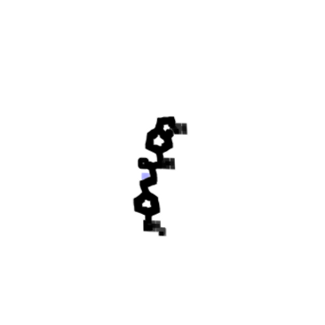 Bc1ccc(/C=C/C(=O)Nc2ccc3cc[nH]c3c2)cc1